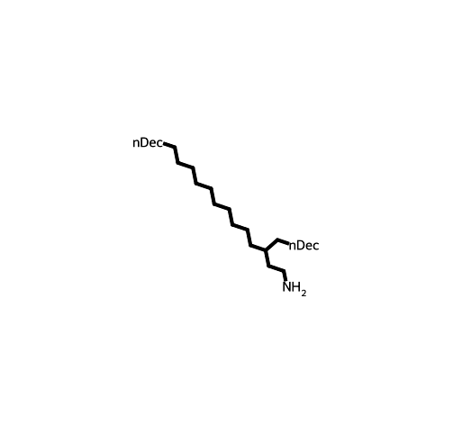 CCCCCCCCCCCCCCCCCCCCC(CCN)CCCCCCCCCCC